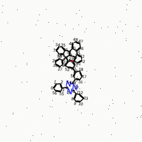 c1ccc(-c2nc(-c3ccccc3)nc(-c3cccc(-c4ccc(C5(c6ccccc6)c6ccccc6-c6c5c5ccccc5c5ccccc65)cc4)c3)n2)cc1